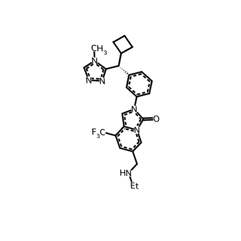 CCNCc1cc(C(F)(F)F)c2cn(-c3cccc([C@H](c4nncn4C)C4CCC4)c3)c(=O)n2c1